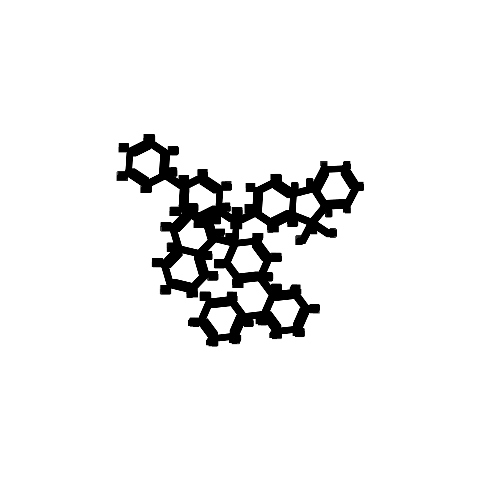 CC1(C)c2ccccc2-c2ccc(N(c3ccc(-c4ccccc4)cc3)C3(c4cccc5ccccc45)C=CC(c4ccccc4-c4ccccc4)=CC3)cc21